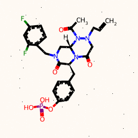 C=CCN1CC(=O)N2[C@@H](Cc3ccc(OP(=O)(O)O)cc3)C(=O)N(Cc3ccc(F)cc3F)C[C@@H]2N1C(C)=O